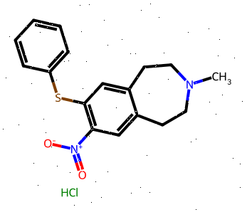 CN1CCc2cc(Sc3ccccc3)c([N+](=O)[O-])cc2CC1.Cl